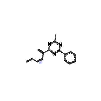 C=C/C=C\C(=C)c1nc(C)nc(-c2ccccc2)n1